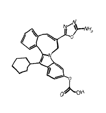 Nc1nnc(C2=Cc3ccccc3-c3c(C4CCCCC4)c4ccc(OC(=O)O)cc4n3C2)o1